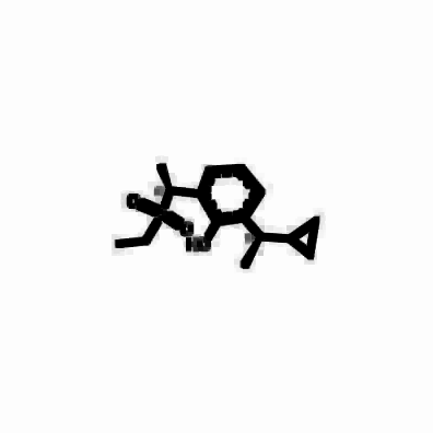 CCS(=O)(=O)[C@@H](C)c1cccc([C@H](C)C2CC2)c1O